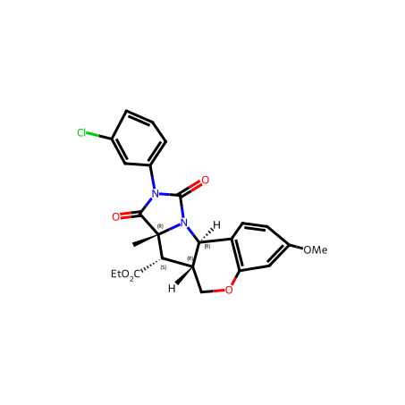 CCOC(=O)[C@H]1[C@H]2COc3cc(OC)ccc3[C@@H]2N2C(=O)N(c3cccc(Cl)c3)C(=O)[C@@]12C